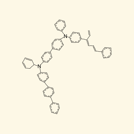 C=C/C(=C\C=C\c1ccccc1)c1ccc(N(c2ccccc2)c2ccc(-c3ccc(N(c4ccc(-c5ccc(-c6ccccc6)cc5)cc4)C4C=CC=CC4)cc3)cc2)cc1